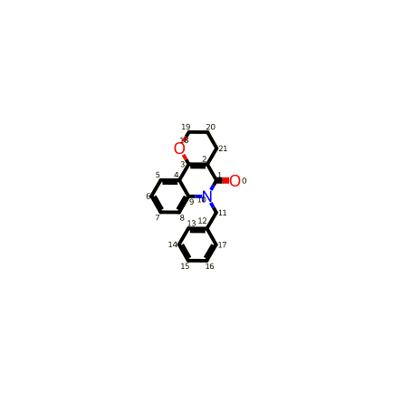 O=c1c2c(c3ccccc3n1Cc1ccccc1)OCCC2